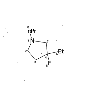 CCCN1CCC(F)(CC)C1